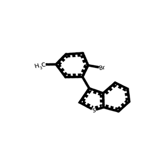 Cc1ccc(Br)c(-c2csc3ccccc23)c1